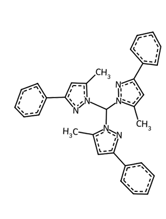 Cc1cc(-c2ccccc2)nn1C(n1nc(-c2ccccc2)cc1C)n1nc(-c2ccccc2)cc1C